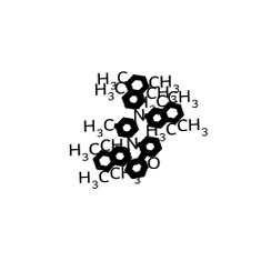 Cc1cc(N(c2ccc3c(c2)C(C)(C)CCC3(C)C)c2ccc3c(c2)C(C)(C)CCC3(C)C)cc(N(c2ccc3c(c2)C(C)(C)CCC3(C)C)c2cccc3oc4ccccc4c23)c1